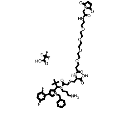 CC(C)(C)C(c1cc(-c2cc(F)ccc2F)cn1Cc1ccccc1)N(CCCN)C(=O)CSCC(NC(=O)CCOCCOCCOCCOCCNC(=O)CN1C(=O)C=CC1=O)C(=O)O.O=C(O)C(F)(F)F